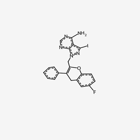 Nc1ncnc2c1c(I)nn2CC1=C(c2ccccc2)Cc2cc(F)ccc2O1